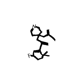 C=C(C)CC1(CC(=C)C2=CC(F)=CCC2(C)C)CC=NCC1